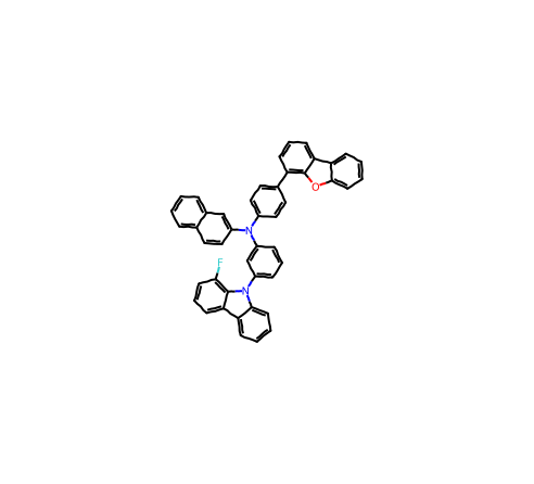 Fc1cccc2c3ccccc3n(-c3cccc(N(c4ccc(-c5cccc6c5oc5ccccc56)cc4)c4ccc5ccccc5c4)c3)c12